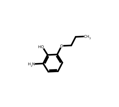 CCCOc1cccc(N)c1O